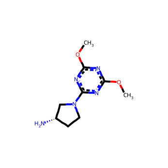 COc1nc(OC)nc(N2CC[C@H](N)C2)n1